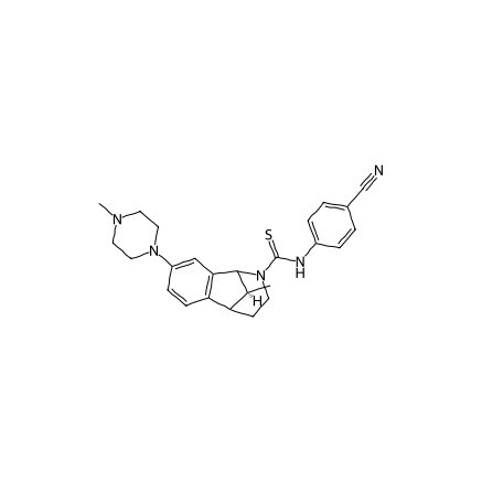 C[C@H]1C2CCN(C(=S)Nc3ccc(C#N)cc3)C1c1cc(N3CCN(C)CC3)ccc12